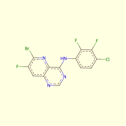 Fc1cc2ncnc(Nc3ccc(Cl)c(F)c3F)c2nc1Br